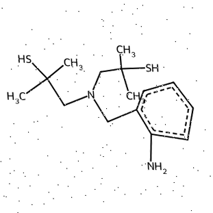 CC(C)(S)CN(Cc1ccccc1N)CC(C)(C)S